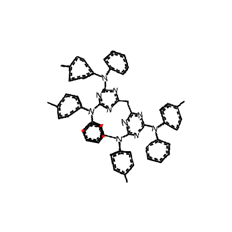 Cc1ccc(N(c2ccccc2)c2nc(Cc3nc(N(c4ccccc4)c4ccc(C)cc4)nc(N(c4ccccc4)c4ccc(C)cc4)n3)nc(N(c3ccccc3)c3ccc(C)cc3)n2)cc1